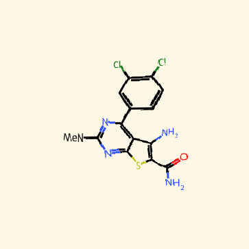 CNc1nc(-c2ccc(Cl)c(Cl)c2)c2c(N)c(C(N)=O)sc2n1